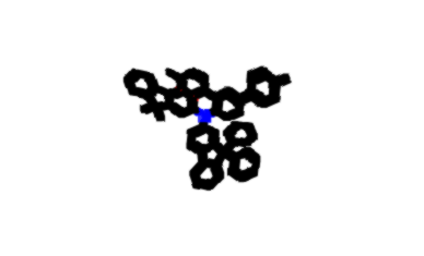 Cc1ccc(-c2ccc(N(c3ccc4c(c3)C(C)(C)c3ccccc3-4)c3ccc4c(c3)C(c3ccccc3)(c3ccccc3)c3ccccc3-4)c(-c3ccc(C)cc3)c2)cc1